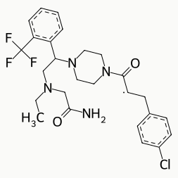 CCN(CC(N)=O)CC(c1ccccc1C(F)(F)F)N1CCN(C(=O)[CH]Cc2ccc(Cl)cc2)CC1